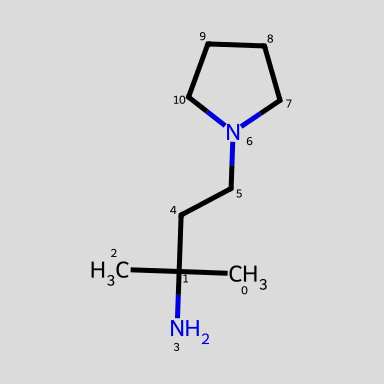 CC(C)(N)CCN1CCCC1